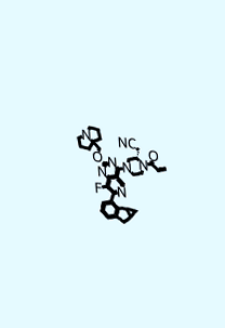 C=CC(=O)N1CCN(c2nc(OCC34CCCN3CCC4)nc3c(F)c(-c4cccc5c4C4CC4C5)ncc23)C[C@@H]1CC#N